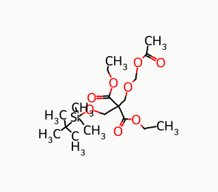 CCOC(=O)C(COCOC(C)=O)(CO[Si](C)(C)C(C)(C)C)C(=O)OCC